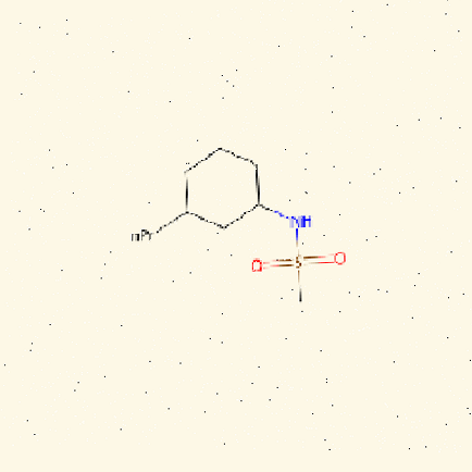 CCCC1CCCC(NS(C)(=O)=O)C1